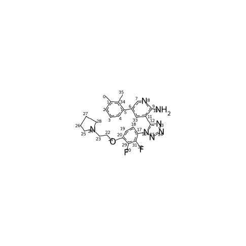 Cc1cccc(-c2cnc(N)c(-c3nnnn3-c3ccc(OCCN4CCCC4)c(F)c3F)c2)c1C